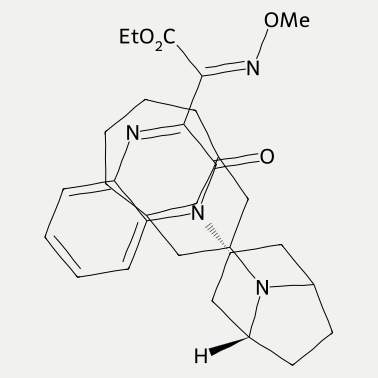 CCOC(=O)/C(=N\OC)c1nc2ccccc2n([C@@H]2CC3CC[C@H](C2)N3C2CC3CCCCC(C3)C2)c1=O